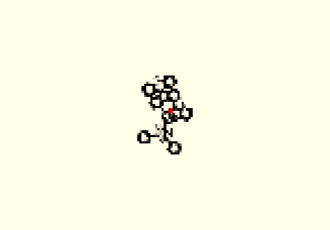 c1ccc(-c2nc(-c3ccccc3)nc(-c3cccc(-c4cccc5c4-c4c(-c6cccc7cccnc67)cccc4C54c5ccccc5Sc5ccccc54)c3)n2)cc1